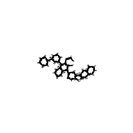 C/C=C\c1c(C)c(-c2ccc3oc4cc5ccccc5cc4c3c2)c2ccccc2c1-c1cccc(-c2ccccc2)c1